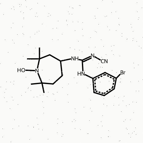 CC1(C)CCC(N/C(=N/C#N)Nc2cccc(Br)c2)CC(C)(C)N1O